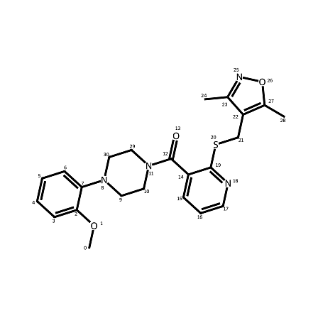 COc1ccccc1N1CCN(C(=O)c2cccnc2SCc2c(C)noc2C)CC1